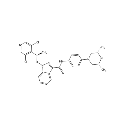 C[C@@H]1CN(c2ccc(NC(=O)c3nn(O[C@H](C)c4c(Cl)cncc4Cl)c4ccccc34)cc2)C[C@H](C)N1